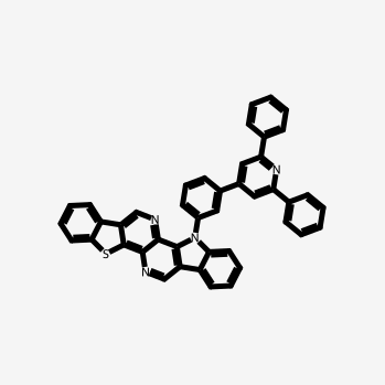 c1ccc(-c2cc(-c3cccc(-n4c5ccccc5c5cnc6c(ncc7c8ccccc8sc76)c54)c3)cc(-c3ccccc3)n2)cc1